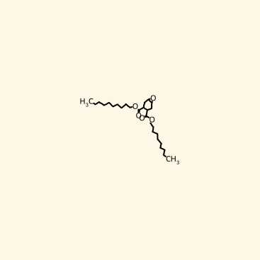 CCCCCCCCCCOC(=O)C1CC2OC2CC1C(=O)OCCCCCCCCCC